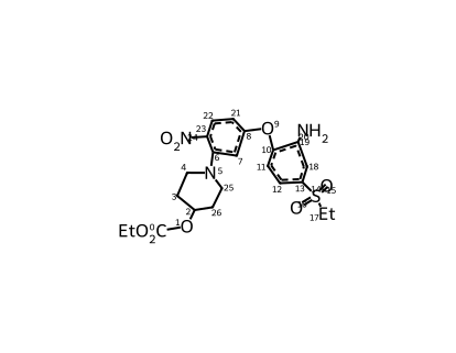 CCOC(=O)OC1CCN(c2cc(Oc3ccc(S(=O)(=O)CC)cc3N)ccc2[N+](=O)[O-])CC1